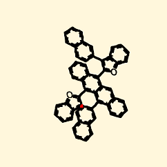 c1ccc2cc(-c3c(-c4c5ccccc5c(-c5cc6ccccc6o5)c5c(-c6ccc7ccccc7c6)c6ccccc6cc45)oc4ccccc34)ccc2c1